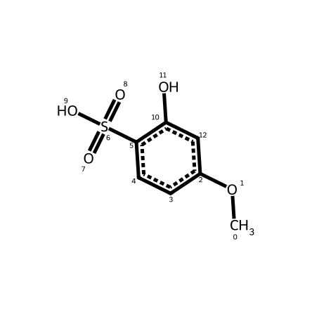 COc1ccc(S(=O)(=O)O)c(O)c1